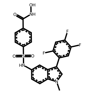 Cn1cc(-c2cc(F)c(F)cc2F)c2cc(NS(=O)(=O)c3ccc(C(=O)NO)cc3)ccc21